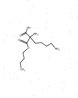 CCCCOC(=O)C(N)(CCCCN)C(=O)O